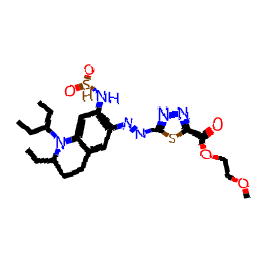 CCC(CC)N1c2cc(N[SH](=O)=O)c(N=Nc3nnc(C(=O)OCCOC)s3)cc2CCC1CC